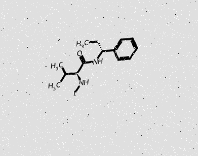 CC[C@@H](NC(=O)[C@@H](NI)C(C)C)c1ccccc1